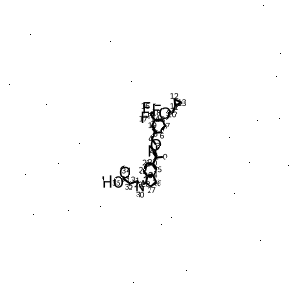 C/C(=N\OCc1ccc(OCC2CC2)c(C(F)(F)F)c1)c1ccc2c(c1)CCC2N(C)CCC(=O)O